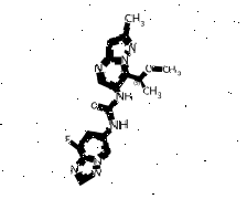 CO[C@@H](C)c1c(NC(=O)Nc2cc(F)c3ncnn3c2)cnc2cc(C)nn12